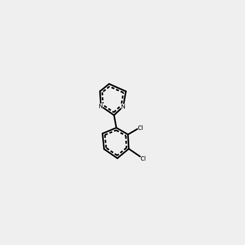 Clc1cccc(-c2ncccn2)c1Cl